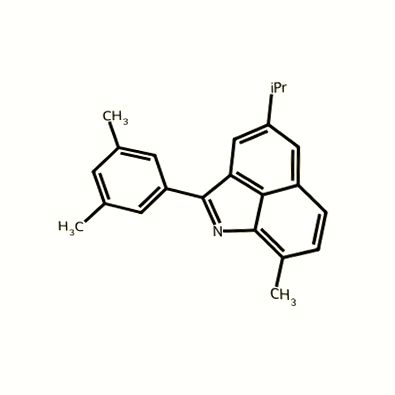 Cc1cc(C)cc(C2=Nc3c(C)ccc4cc(C(C)C)cc2c34)c1